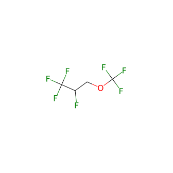 FC(COC(F)(F)F)C(F)(F)F